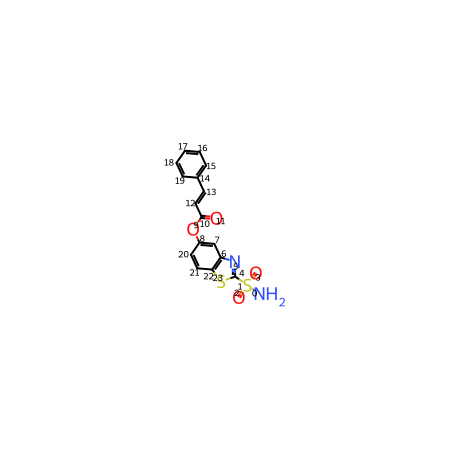 NS(=O)(=O)c1nc2cc(OC(=O)/C=C/c3ccccc3)ccc2s1